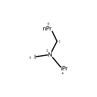 CCCCN(I)C(C)C